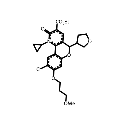 CCOC(=O)c1cc2c(n(C3CC3)c1=O)-c1cc(Cl)c(OCCCOC)cc1OC2C1CCOC1